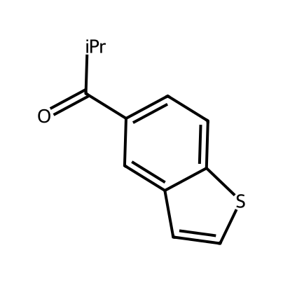 CC(C)C(=O)c1ccc2sccc2c1